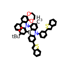 Cc1cc2c3c(c1)N(c1c(-c4ccccc4)ccc4c1OCCCO4)c1ccc(C(C)(C)C)cc1B3c1ccc(-c3cc4ccccc4s3)cc1N2c1cccc(-c2cc3ccccc3s2)c1